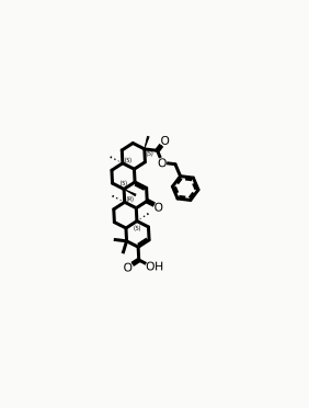 CC1(C)C(C(=O)O)=CC[C@@]2(C)C1CC[C@]1(C)C2C(=O)C=C2C3C[C@@](C)(C(=O)OCc4ccccc4)CC[C@]3(C)CC[C@]21C